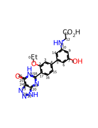 CCOc1cc(-c2cc(O)cc(NCC(=O)O)c2)ccc1-c1nc2[nH]nnc2c(=O)[nH]1